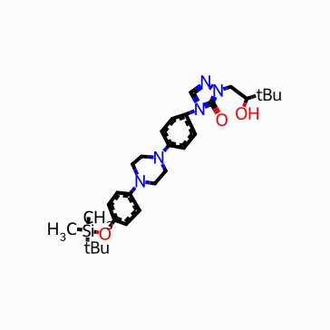 CC(C)(C)C(O)Cn1ncn(-c2ccc(N3CCN(c4ccc(O[Si](C)(C)C(C)(C)C)cc4)CC3)cc2)c1=O